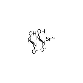 [O-]N=NO.[O-]N=NO.[Sr+2]